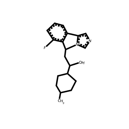 CC1CCC(C(O)CC2c3c(F)cccc3-c3cncn32)CC1